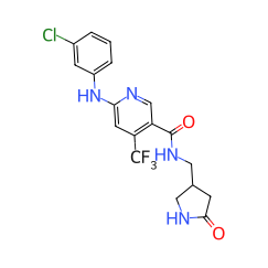 O=C1CC(CNC(=O)c2cnc(Nc3cccc(Cl)c3)cc2C(F)(F)F)CN1